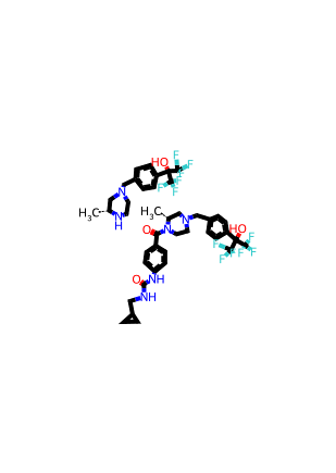 C[C@@H]1CN(Cc2ccc(C(O)(C(F)(F)F)C(F)(F)F)cc2)CCN1.C[C@@H]1CN(Cc2ccc(C(O)(C(F)(F)F)C(F)(F)F)cc2)CCN1C(=O)c1ccc(NC(=O)NCC2CC2)cc1